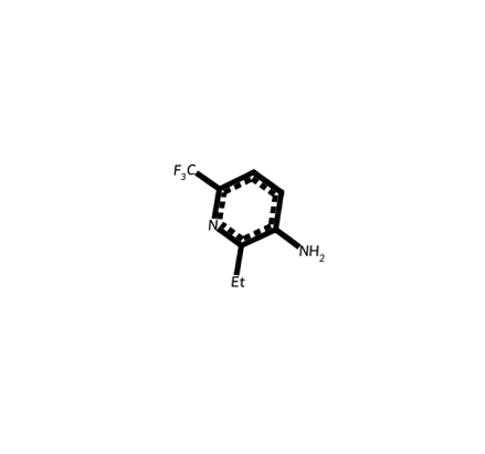 CCc1nc(C(F)(F)F)ccc1N